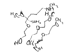 CNCCCC([SiH3])(COCCO)OC.COCCOCCO.COCCOCCO